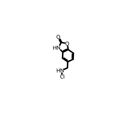 O=c1[nH]c2cc(CNCl)ccc2o1